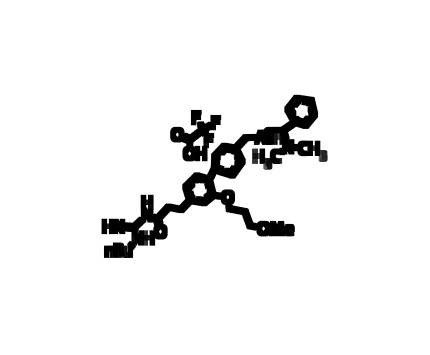 CCCCNC(=N)NC(=O)CCc1ccc(-c2ccc(C[AsH]CC(c3ccccc3)N(C)C)cc2)c(OCCCOC)c1.O=C(O)C(F)(F)F